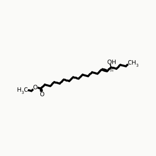 CCCC[C@H](O)C=CCCCCCCCCCCCCC(=O)OCC